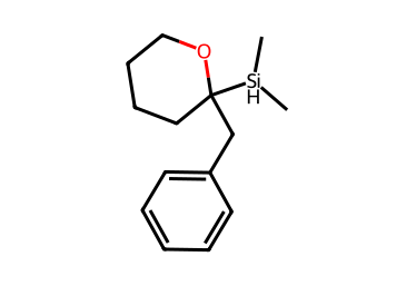 C[SiH](C)C1(Cc2ccccc2)CCCCO1